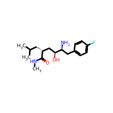 CNC(=O)[C@H](CC(C)C)C[C@H](O)[C@@H](N)Cc1ccc(F)cc1